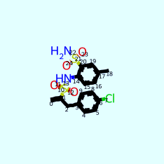 C=C(Cc1ccc(Cl)cc1)S(=O)(=O)Nc1ccc(C)cc1S(N)(=O)=O